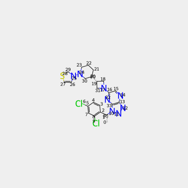 C[C@H](c1ccc(Cl)cc1Cl)n1nnc2ncc(N3CC([C@H]4CCCN(N5C=CSC5)C4)C3)nc21